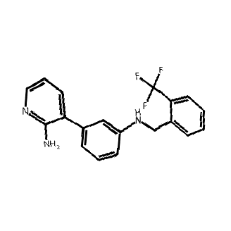 Nc1ncccc1-c1cccc(NCc2ccccc2C(F)(F)F)c1